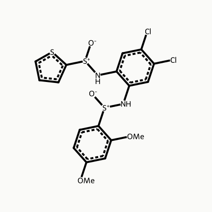 COc1ccc([S+]([O-])Nc2cc(Cl)c(Cl)cc2N[S+]([O-])c2cccs2)c(OC)c1